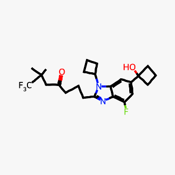 CC(C)(CC(=O)CCCc1nc2c(F)cc(C3(O)CCC3)cc2n1C1CCC1)C(F)(F)F